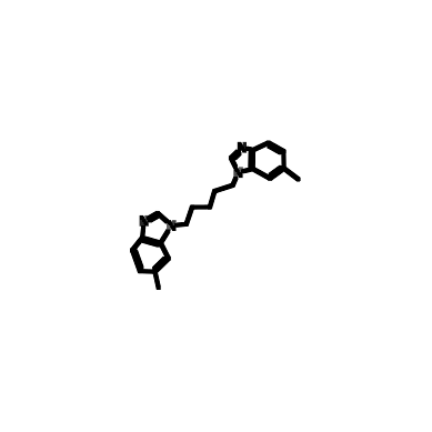 Cc1ccc2ncn(CCCCCn3cnc4ccc(C)cc43)c2c1